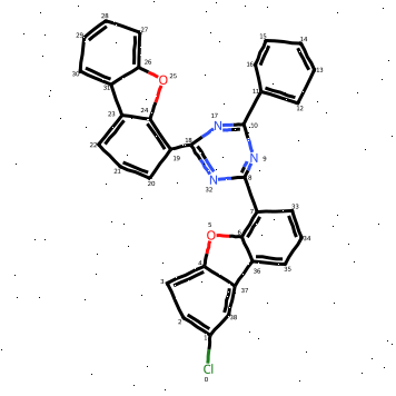 Clc1ccc2oc3c(-c4nc(-c5ccccc5)nc(-c5cccc6c5oc5ccccc56)n4)cccc3c2c1